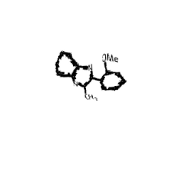 COc1ccccc1-c1nc2ccccc2nc1C